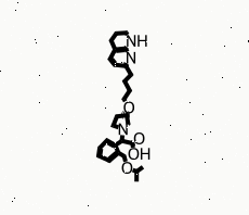 CC(C)OCc1ccccc1C(C(=O)O)N1CC[C@@H](OCCCCc2ccc3c(n2)NCCC3)C1